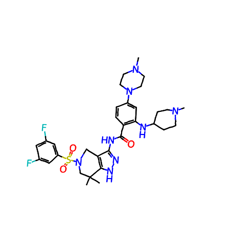 CN1CCC(Nc2cc(N3CCN(C)CC3)ccc2C(=O)Nc2n[nH]c3c2CN(S(=O)(=O)c2cc(F)cc(F)c2)CC3(C)C)CC1